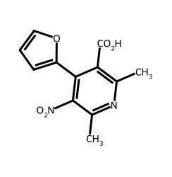 Cc1nc(C)c([N+](=O)[O-])c(-c2ccco2)c1C(=O)O